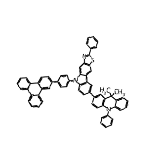 CC1(C)c2ccccc2N(c2ccccc2)c2ccc(-c3ccc4c(c3)c3cc5sc(-c6ccccc6)nc5cc3n4-c3ccc(-c4ccc5c6ccccc6c6ccccc6c5c4)cc3)cc21